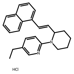 CCc1ccc(N2CCCCC2C=Cc2cccc3ccccc23)nc1.Cl